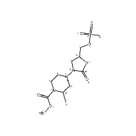 CC(C)(C)OC(=O)N1CCN(N2CC(COS(C)(=O)=O)OC2=O)CC1F